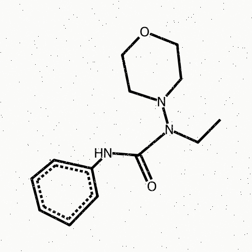 CCN(C(=O)Nc1[c]cccc1)N1CCOCC1